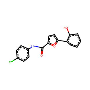 O=C(Nc1ccc(Cl)cc1)c1ccc(-c2ccccc2O)o1